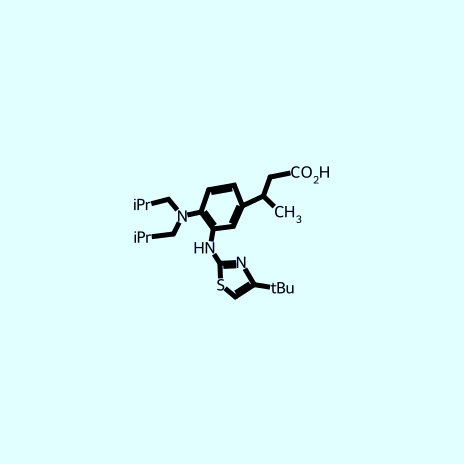 CC(C)CN(CC(C)C)c1ccc(C(C)CC(=O)O)cc1Nc1nc(C(C)(C)C)cs1